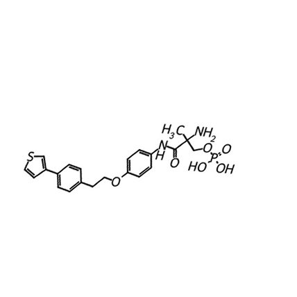 CC(N)(COP(=O)(O)O)C(=O)Nc1ccc(OCCc2ccc(-c3ccsc3)cc2)cc1